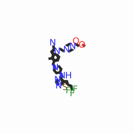 COCC(=O)N1CCN(CCn2c(C#N)cc3c(C)c(CN4CCC(Nc5ncnc6sc(CC(F)(F)F)cc56)CC4)ccc32)CC1